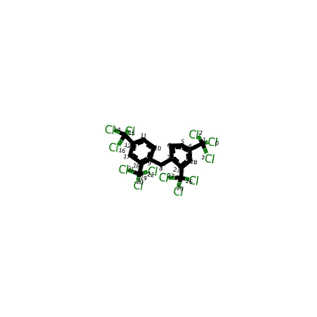 ClC(Cl)(Cl)c1ccc([CH]c2ccc(C(Cl)(Cl)Cl)cc2C(Cl)(Cl)Cl)c(C(Cl)(Cl)Cl)c1